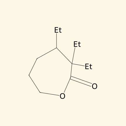 CCC1CCCOC(=O)C1(CC)CC